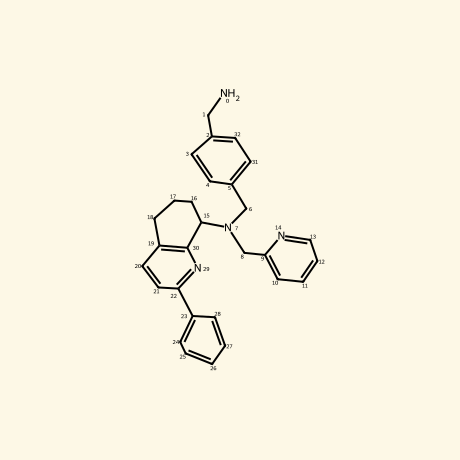 NCc1ccc(CN(Cc2ccccn2)C2CCCc3ccc(-c4ccccc4)nc32)cc1